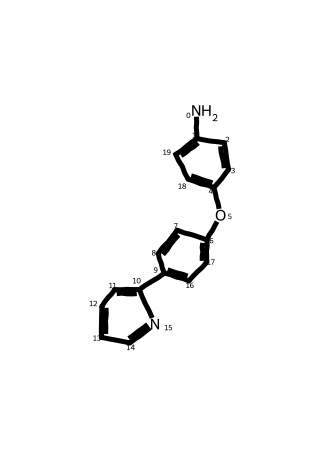 Nc1ccc(Oc2ccc(-c3ccccn3)cc2)cc1